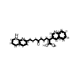 O=C(CCCc1ccc2c(n1)NCCC2)CCCC(C(=O)O)c1cnc2ccccc2c1